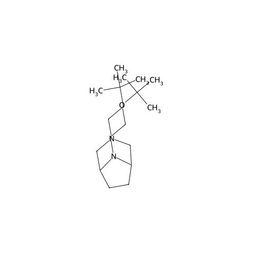 CC(C)(C)CCN1CC2CCC(C1)N2CCOC(C)(C)C